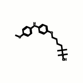 COc1ccc(Nc2ccc(OCCCCC(C)(C)[Si](C)(C)O)cc2)cc1